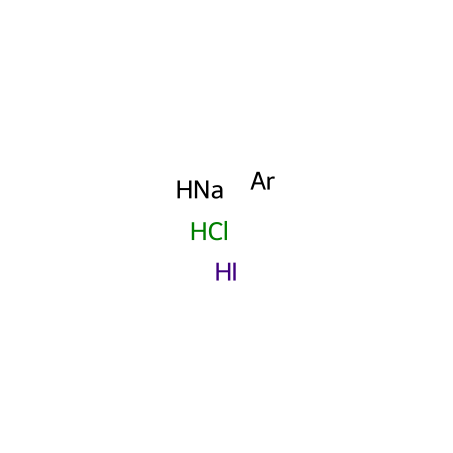 Cl.I.[Ar].[NaH]